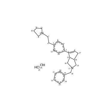 C1=C(c2ccc(CCN3CCCC3)nc2)C2CN(Cc3ccccc3)CC2C1.Cl.Cl